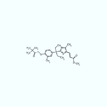 CCC(CC)(c1ccc(OCC(=O)C(C)(C)C)c(C)c1)c1cc(C)c(C=CC(=O)OC)s1